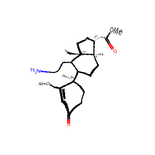 COC(=O)[C@H]1CC[C@H]2C(CCN)C([C@@]3(C)CCC(=O)C=C3OC)CC[C@]12C